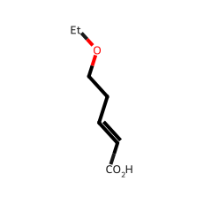 CCOCCC=CC(=O)O